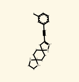 Cc1cccc(C#CC2=NOC3(CCC4(CC3)OCCO4)C2)c1